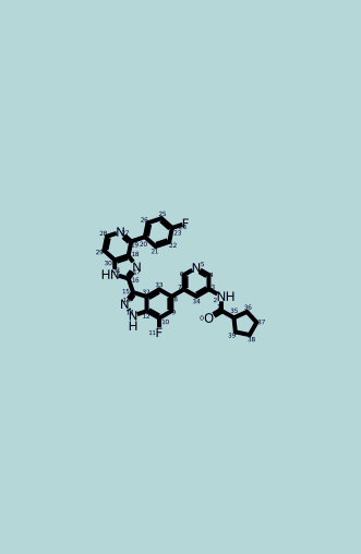 O=C(Nc1cncc(-c2cc(F)c3[nH]nc(-c4nc5c(-c6ccc(F)cc6)nccc5[nH]4)c3c2)c1)C1CCCC1